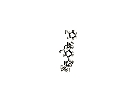 CCOP(=O)(NCc1cccc(F)c1)c1ccc(-c2noc(C(F)(F)Cl)n2)cc1